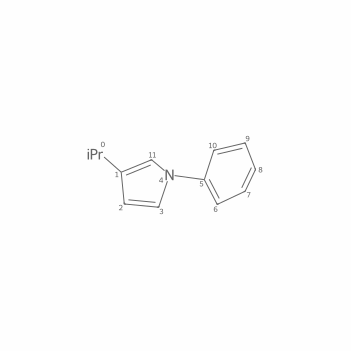 CC(C)c1ccn(-c2ccccc2)c1